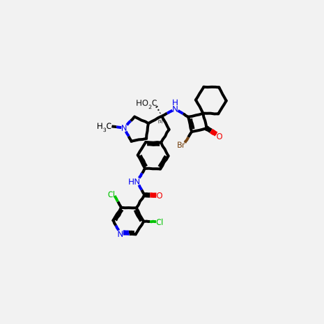 CN1CCC([C@](Cc2ccc(NC(=O)c3c(Cl)cncc3Cl)cc2)(NC2=C(Br)C(=O)C23CCCCC3)C(=O)O)C1